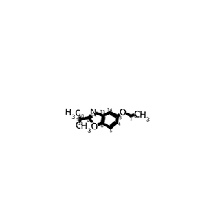 CCOc1ccc2oc(C(C)C)nc2c1